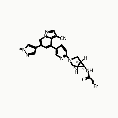 CC(C)CC(=O)N[C@H]1[C@@H]2CN(c3ccc(-c4cc(-c5cnn(C)c5)cn5ncc(C#N)c45)cn3)C[C@@H]21